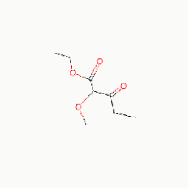 CCOC(=O)C(OC)C(=O)CC